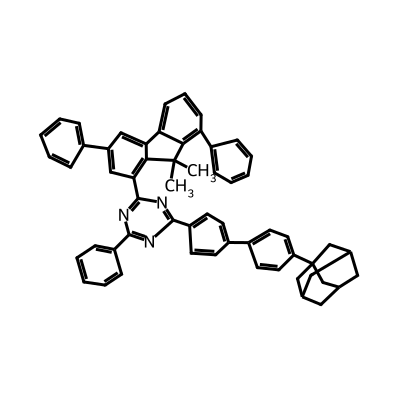 CC1(C)c2c(-c3ccccc3)cccc2-c2cc(-c3ccccc3)cc(-c3nc(-c4ccccc4)nc(-c4ccc(-c5ccc(C67CC8CC(CC(C8)C6)C7)cc5)cc4)n3)c21